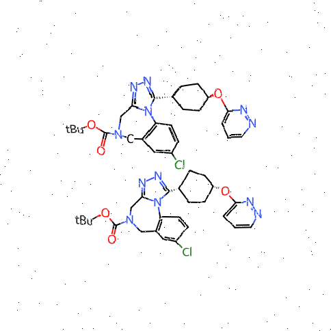 CC(C)(C)OC(=O)N1Cc2cc(Cl)ccc2-n2c(nnc2[C@H]2CC[C@@H](Oc3cccnn3)CC2)C1.CC(C)(C)OC(=O)N1Cc2cc(Cl)ccc2-n2c(nnc2[C@H]2CC[C@H](Oc3cccnn3)CC2)C1